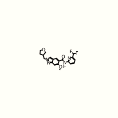 COc1cc2nn(CC3CCOC3)cc2cc1C(=O)Nc1cccc(C(F)F)n1